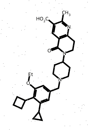 CCOc1cc(CN2CCC(N3CCc4nc(C)c(C(=O)O)cc4C3=O)CC2)cc(C2CC2)c1C1CCC1